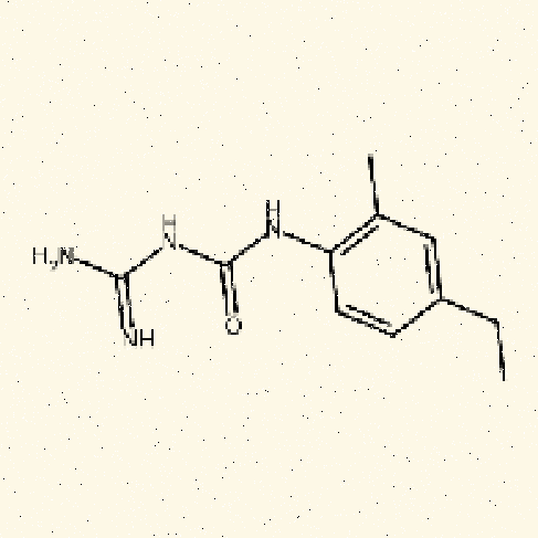 CCc1ccc(NC(=O)NC(=N)N)c(C)c1